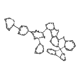 c1ccc(-c2ccc(-c3nc(-c4ccccc4)nc(-c4cccc5sc6c7c(ccc6c45)C4(c5ccccc5S7)c5ccccc5-c5ccccc54)n3)cc2)cc1